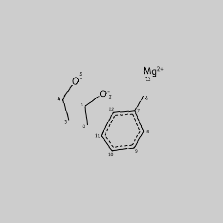 CC[O-].CC[O-].Cc1ccccc1.[Mg+2]